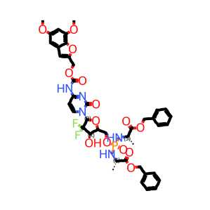 COc1cc(OC)c2oc(COC(=O)Nc3ccn([C@@H]4OC(COP(=O)(N[C@@H](C)C(=O)OCc5ccccc5)N[C@@H](C)C(=O)OCc5ccccc5)[C@@H](O)C4(F)F)c(=O)n3)cc2c1